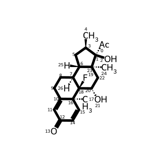 CC(=O)[C@@]1(O)[C@H](C)C[C@H]2[C@@H]3CCC4=CC(=O)C=C[C@]4(C)[C@@]3(F)[C@@H](O)C[C@@]21C